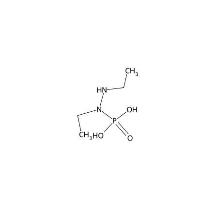 CCNN(CC)P(=O)(O)O